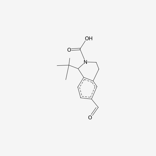 CC(C)(C)C1c2ccc(C=O)cc2CCN1C(=O)O